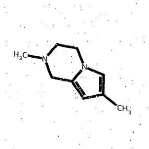 Cc1cc2n(c1)CCN(C)C2